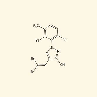 N#Cc1nn(-c2c(Cl)ccc(C(F)(F)F)c2Cl)cc1C=C(Br)Br